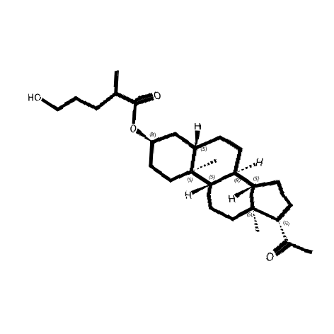 CC(=O)[C@H]1CC[C@H]2[C@@H]3CC[C@H]4C[C@H](OC(=O)C(C)CCCO)CC[C@]4(C)[C@H]3CC[C@]12C